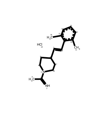 CC(=N)N1CCC(/C=C/c2c(C)cccc2C)CC1.Cl